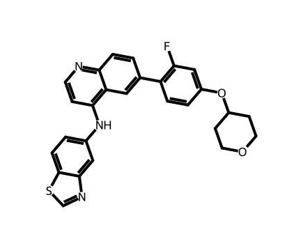 Fc1cc(OC2CCOCC2)ccc1-c1ccc2nccc(Nc3ccc4scnc4c3)c2c1